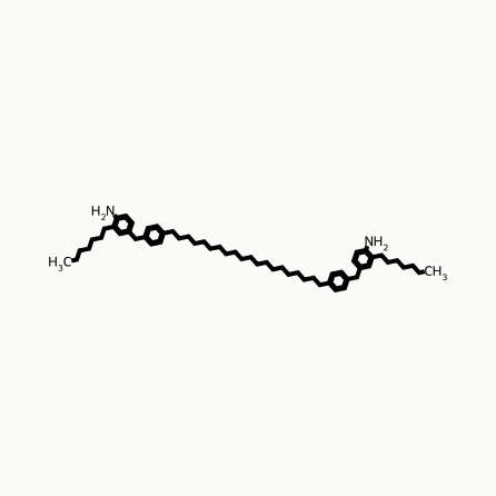 CCCCCCCc1cc(Cc2ccc(CCCCCCCCCCCCCCCCCCCCc3ccc(Cc4ccc(N)c(CCCCCCC)c4)cc3)cc2)ccc1N